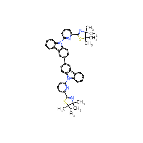 CC1(C)N=C(c2cccc(-n3c4ccccc4c4cc(-c5ccc6c(c5)c5ccccc5n6-c5cccc(C6=NC(C)(C)C(C)(C)S6)n5)ccc43)n2)SC1(C)C